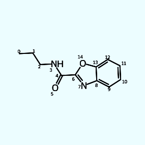 CCCNC(=O)c1nc2ccccc2o1